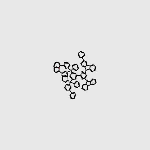 c1ccc(-c2cccc([Si](c3ccccc3)(c3ccccc3)c3cc(-c4nc(-n5c6ccccc6c6ccccc65)cc(-n5c6ccccc6c6cc(-c7ccccc7)ccc65)n4)cc([Si](c4ccccc4)(c4cccc(-c5ccccc5)c4)c4cccc(-c5ccccc5)c4)c3)c2)cc1